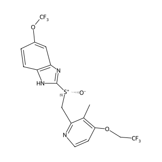 Cc1c(OCC(F)(F)F)ccnc1C[S@@+]([O-])c1nc2cc(OC(F)(F)F)ccc2[nH]1